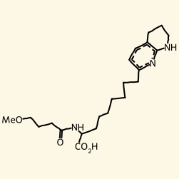 COCCCC(=O)NC(CCCCCCCc1ccc2c(n1)NCCC2)C(=O)O